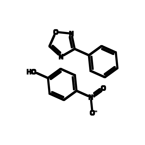 O=[N+]([O-])c1ccc(O)cc1.c1ccc(-c2ncon2)cc1